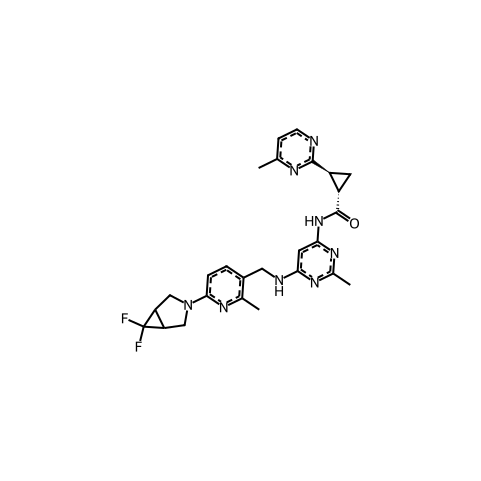 Cc1ccnc([C@H]2C[C@@H]2C(=O)Nc2cc(NCc3ccc(N4CC5C(C4)C5(F)F)nc3C)nc(C)n2)n1